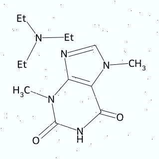 CCN(CC)CC.Cn1cnc2c1c(=O)[nH]c(=O)n2C